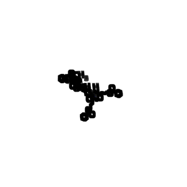 CS(=O)(=O)N[C@H](Cc1ccccc1)C(=O)N1CCC[C@H]1C(=O)NCC1CCN(/C(=N\C(=O)CCCOC(=O)c2ccccc2)NC(=O)CCCOC(=O)c2ccccc2)CC1